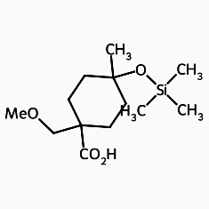 COCC1(C(=O)O)CCC(C)(O[Si](C)(C)C)CC1